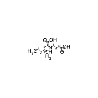 CCCC(C)CC(NCCCC(=O)O)C(=O)O